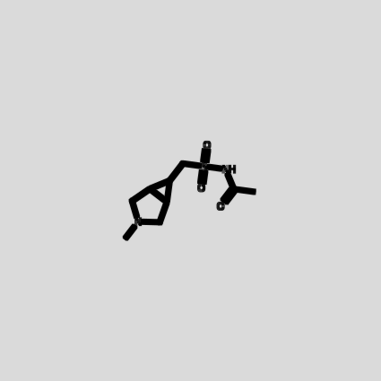 CC(=O)NS(=O)(=O)CC1C2CN(C)CC21